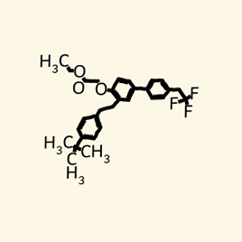 CCOC(=O)COc1ccc(-c2ccc(CC(F)(F)F)cc2)cc1CCc1ccc(C(C)(C)C)cc1